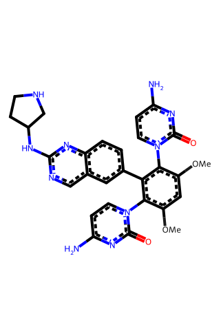 COc1cc(OC)c(-n2ccc(N)nc2=O)c(-c2ccc3nc(NC4CCNC4)ncc3c2)c1-n1ccc(N)nc1=O